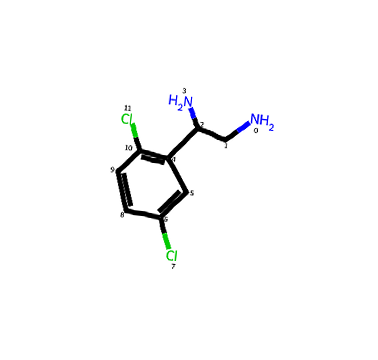 NCC(N)c1cc(Cl)ccc1Cl